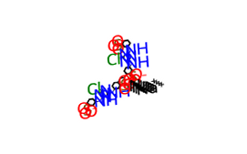 O=S(=O)([O-])c1cccc(Nc2nc(Cl)nc(Nc3ccc(C=Cc4ccc(Nc5nc(Cl)nc(Nc6cccc(S(=O)(=O)[O-])c6)n5)cc4S(=O)(=O)[O-])c(S(=O)(=O)[O-])c3)n2)c1.[Na+].[Na+].[Na+].[Na+]